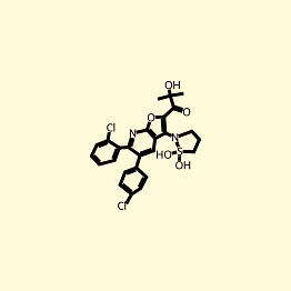 CC(C)(O)C(=O)c1oc2nc(-c3ccccc3Cl)c(-c3ccc(Cl)cc3)cc2c1N1CCCS1(O)O